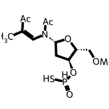 COC[C@H]1O[C@@H](N(/C=C(/C)C(C)=O)C(C)=O)C[C@@H]1O[PH](=O)S